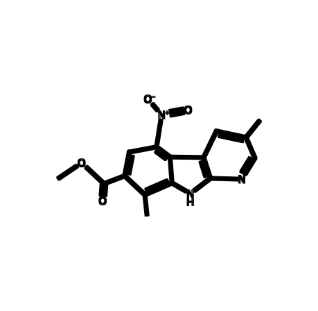 COC(=O)c1cc([N+](=O)[O-])c2c([nH]c3ncc(C)cc32)c1C